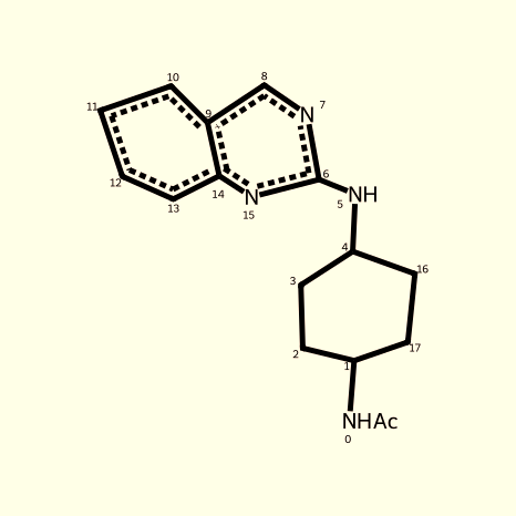 CC(=O)NC1CCC(Nc2ncc3ccccc3n2)CC1